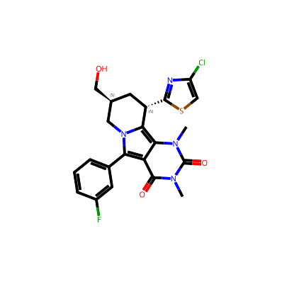 Cn1c(=O)c2c(-c3cccc(F)c3)n3c(c2n(C)c1=O)[C@@H](c1nc(Cl)cs1)C[C@H](CO)C3